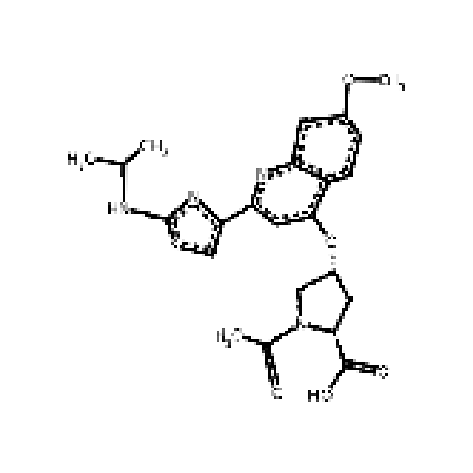 COc1ccc2c(O[C@@H]3C[C@@H](C(=O)O)N(C(C)=O)C3)cc(-c3csc(NC(C)C)n3)nc2c1